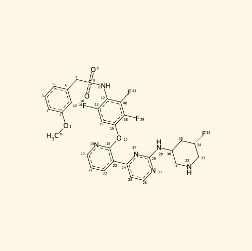 COc1cccc(CS(=O)(=O)Nc2c(F)cc(Oc3ncccc3-c3ccnc(NC4CNC[C@@H](F)C4)n3)c(F)c2F)c1